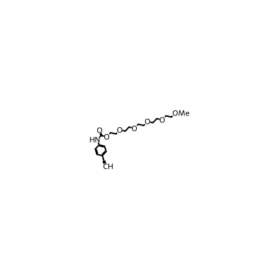 C#Cc1ccc(NC(=O)OCCOCCOCCOCCOCCOC)cc1